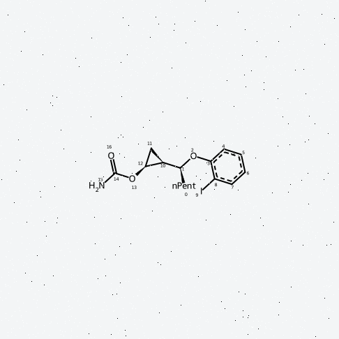 CCCCC[C@H](Oc1ccccc1I)[C@@H]1C[C@@H]1OC(N)=O